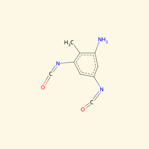 Cc1c(N)cc(N=C=O)cc1N=C=O